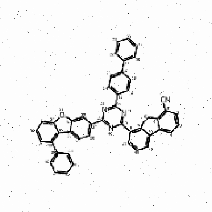 N#Cc1cccc2c1sc1c(-c3nc(-c4ccc(-c5ccccc5)cc4)nc(-c4ccc5c(c4)oc4cccc(-c6ccccc6)c45)n3)cccc12